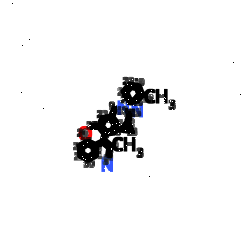 C/C(C#N)=C1\c2ccc(Cn3c(C4CC4)nc4c(C)cccc43)cc2COc2ccccc21